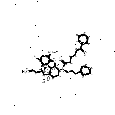 C=CCN1CC[C@]23c4c5c(O)cc(OC(C)=O)c4O[C@H]2[C@@H](N(CCCc2ccccc2)C(=O)CCCCC(=O)c2ccccc2)CC[C@H]3[C@H]1C5